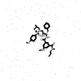 CCCN(C)C(=O)c1cc(NC)cc(C(=O)N[C@@H](Cc2ccccc2)[C@H](O)CN(CC(C)C)S(=O)(=O)c2ccc(OC)cc2)c1